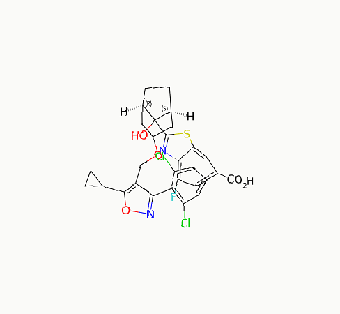 O=C(O)c1cc(F)c2nc(C3(O)[C@@H]4CC[C@H]3CC(OCc3c(-c5c(Cl)cccc5Cl)noc3C3CC3)C4)sc2c1